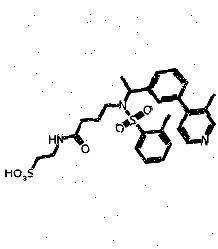 Cc1cnccc1-c1cccc(C(C)N(CCCC(=O)NCCS(=O)(=O)O)S(=O)(=O)c2ccccc2C)c1